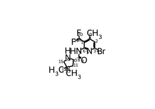 Cc1cc(Br)nc(NC(=O)[C@@H]2CC(C)(C)CN2)c1C(F)F